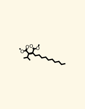 CCCCCCCCCC/C(C(=O)OC)=C(/C(=O)OC)C(C)C